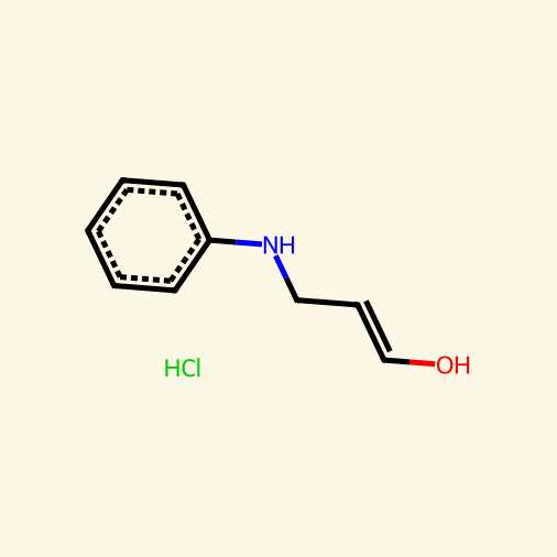 Cl.OC=CCNc1ccccc1